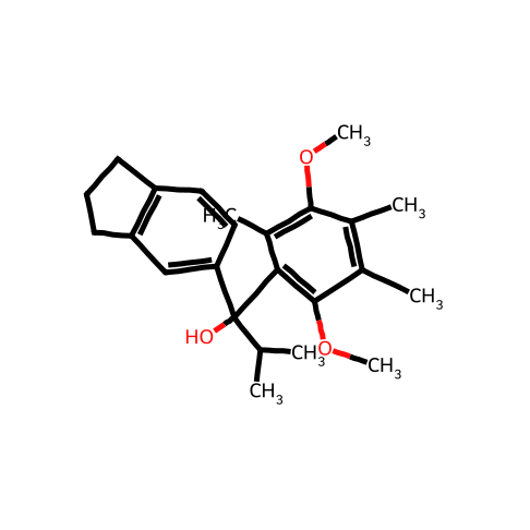 COc1c(C)c(C)c(OC)c(C(O)(c2ccc3c(c2)CCC3)C(C)C)c1C